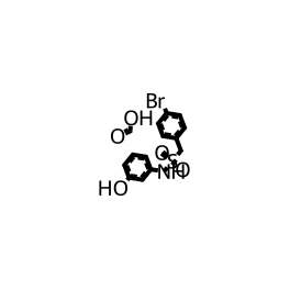 O=CO.O=S(=O)(Cc1ccc(Br)cc1)Nc1cccc(O)c1